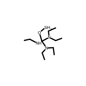 CCNC(O[SiH3])(N(CC)CC)N(CC)CC